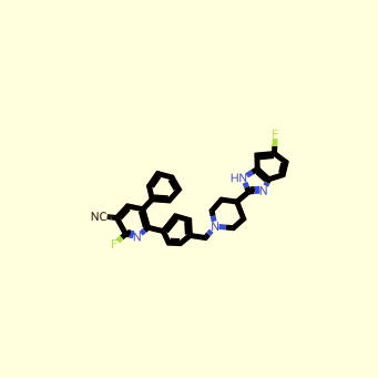 N#Cc1cc(-c2ccccc2)c(-c2ccc(CN3CCC(c4nc5ccc(F)cc5[nH]4)CC3)cc2)nc1F